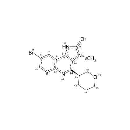 Cn1c(=O)[nH]c2c3cc(Br)ccc3nc([C@@H]3CCCOC3)c21